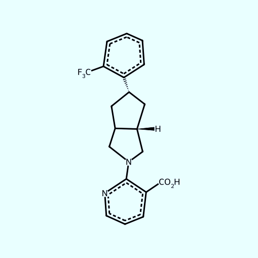 O=C(O)c1cccnc1N1CC2C[C@H](c3ccccc3C(F)(F)F)C[C@@H]2C1